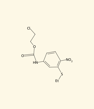 CCSc1cc(NC(=O)OCCCl)ccc1[N+](=O)[O-]